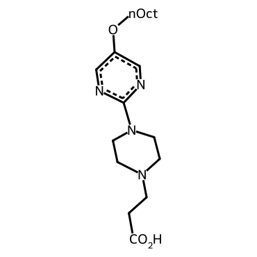 CCCCCCCCOc1cnc(N2CCN(CCC(=O)O)CC2)nc1